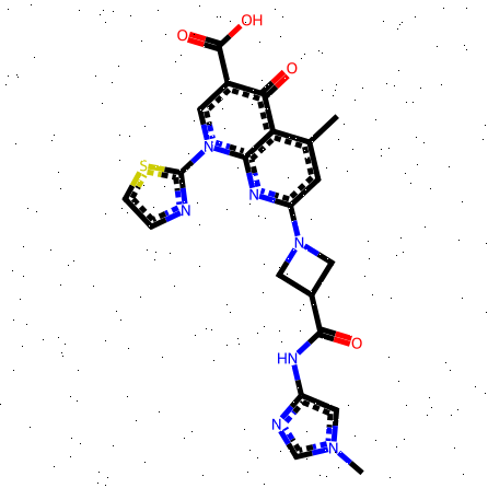 Cc1cc(N2CC(C(=O)Nc3cn(C)cn3)C2)nc2c1c(=O)c(C(=O)O)cn2-c1nccs1